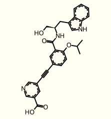 CC(C)Oc1ccc(C#Cc2cncc(C(=O)O)c2)cc1C(=O)N[C@@H](CO)Cc1c[nH]c2ccccc12